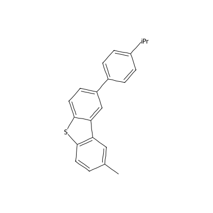 Cc1ccc2sc3ccc(-c4ccc(C(C)C)cc4)cc3c2c1